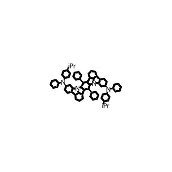 CC(C)c1ccc(N(c2ccccc2)c2ccc3c4cccc5c6c(-c7ccccc7)c7c(c(-c8ccccc8)c6n(c3c2)c45)c2cccc3c4ccc(N(c5ccccc5)c5ccc(C(C)C)cc5)cc4n7c32)cc1